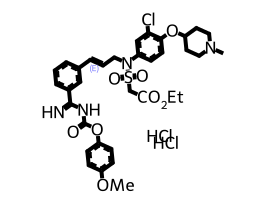 CCOC(=O)CS(=O)(=O)N(C/C=C/c1cccc(C(=N)NC(=O)Oc2ccc(OC)cc2)c1)c1ccc(OC2CCN(C)CC2)c(Cl)c1.Cl.Cl